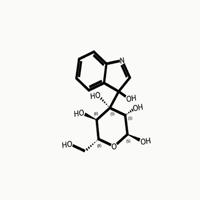 OC[C@H]1O[C@H](O)[C@@H](O)[C@](O)(C2(O)C=Nc3ccccc32)[C@@H]1O